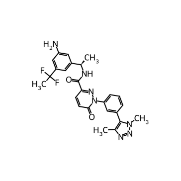 Cc1nnn(C)c1-c1cccc(-n2nc(C(=O)N[C@H](C)c3cc(N)cc(C(C)(F)F)c3)ccc2=O)c1